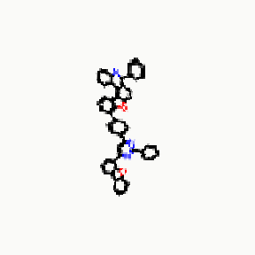 c1ccc(-c2nc(-c3ccc(-c4cccc5c4oc4ccc6c(-c7ccccc7)nc7ccccc7c6c45)cc3)cc(-c3cccc4c3oc3ccccc34)n2)cc1